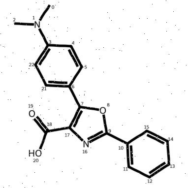 CN(C)c1ccc(-c2oc(-c3ccccc3)nc2C(=O)O)cc1